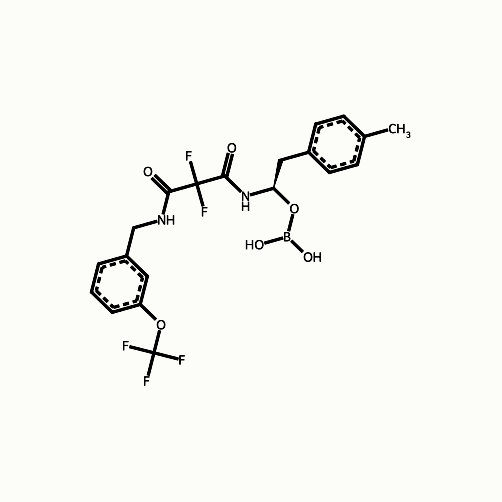 Cc1ccc(C[C@H](NC(=O)C(F)(F)C(=O)NCc2cccc(OC(F)(F)F)c2)OB(O)O)cc1